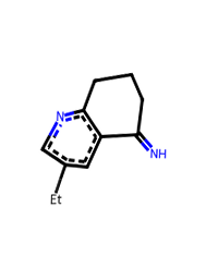 CCc1cnc2c(c1)C(=N)CCC2